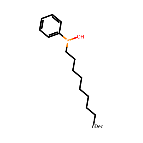 CCCCCCCCCCCCCCCCCCP(O)c1ccccc1